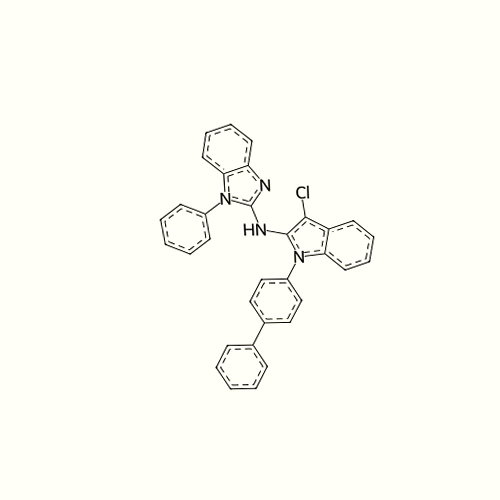 Clc1c(Nc2nc3ccccc3n2-c2ccccc2)n(-c2ccc(-c3ccccc3)cc2)c2ccccc12